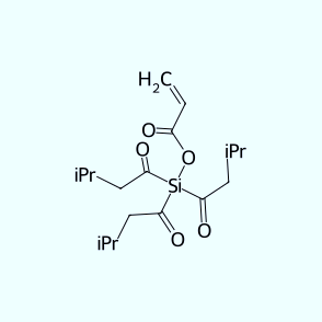 C=CC(=O)O[Si](C(=O)CC(C)C)(C(=O)CC(C)C)C(=O)CC(C)C